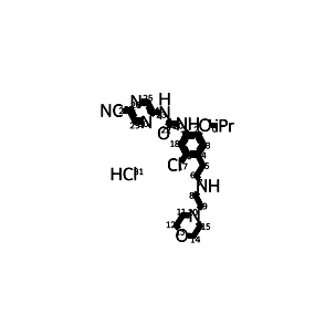 CC(C)Oc1cc(CCNCCN2CCOCC2)c(Cl)cc1NC(=O)Nc1cnc(C#N)cn1.Cl